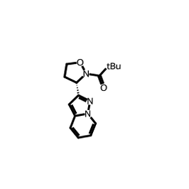 CC(C)(C)C(=O)N1OCC[C@H]1c1cc2ccccn2n1